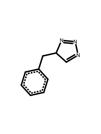 C1=NN=NC1Cc1ccccc1